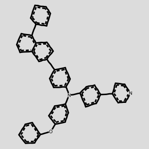 c1ccc(Oc2ccc(N(c3ccc(-c4ccncc4)cc3)c3ccc(-c4ccc5c(-c6ccccc6)cccc5c4)cc3)cc2)cc1